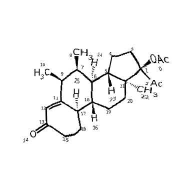 CC(=O)O[C@]1(C(C)=O)CC[C@H]2[C@@H]3[C@H](C)[C@H](C)C4=CC(=O)CC[C@@H]4[C@H]3CC[C@@]21C